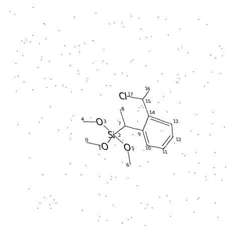 CO[Si](OC)(OC)C(C)c1ccccc1C(C)Cl